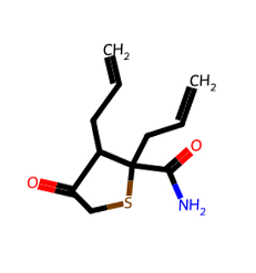 C=CC[C]1C(=O)CSC1(CC=C)C(N)=O